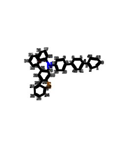 c1ccc(-c2ccc(-c3ccc(N(c4ccccc4)c4cc5sc6ccccc6c5cc4-c4ccccc4)cc3)cc2)cc1